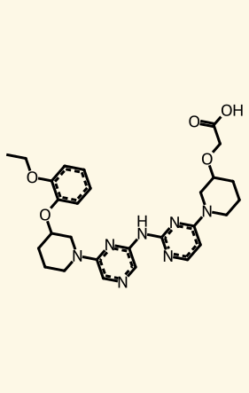 CCOc1ccccc1OC1CCCN(c2cncc(Nc3nccc(N4CCCC(OCC(=O)O)C4)n3)n2)C1